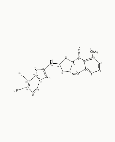 COc1cccc(OC)c1C(=O)N1CC[C@@H](Nc2nc3ccc(F)c(F)c3s2)C1